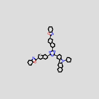 c1ccc(-n2c3ccc(-c4nc(-c5ccc6cc(-c7nc8ccccc8o7)ccc6c5)nc(-c5ccc6cc(-c7nc8ccccc8o7)ccc6c5)n4)cc3c3cc4ccccc4cc32)cc1